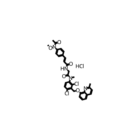 CON(C(C)=O)c1ccc(C=CC(=O)NCC(=O)N(C)c2ccc(Cl)c(COc3cccc4ccc(C)nc34)c2Cl)cc1.Cl